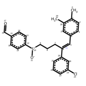 Cc1ccc(/C=C(\CCC[S+]([O-])c2ccc(C=O)cc2)c2cccc(Cl)c2)cc1C